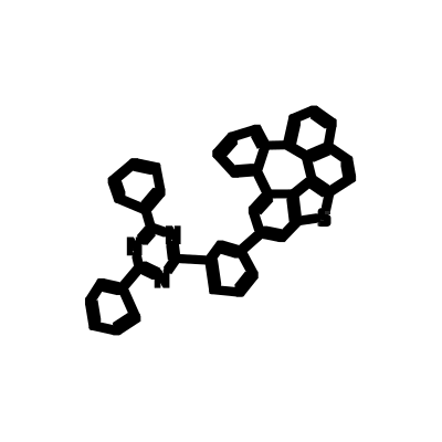 c1ccc(-c2nc(-c3ccccc3)nc(-c3cccc(-c4cc5c6c(c4)sc4ccc7cccc(c7c46)-c4ccccc4-5)c3)n2)cc1